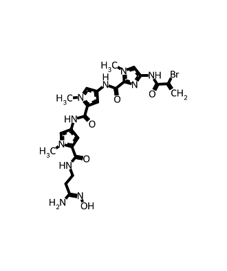 C=C(Br)C(=O)Nc1cn(C)c(C(=O)Nc2cc(C(=O)Nc3cc(C(=O)NCCC(N)=NO)n(C)c3)n(C)c2)n1